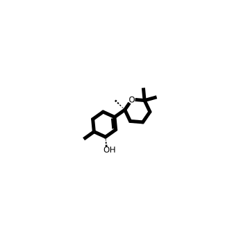 CC1CCC([C@]2(C)CCCC(C)(C)O2)=C[C@@H]1O